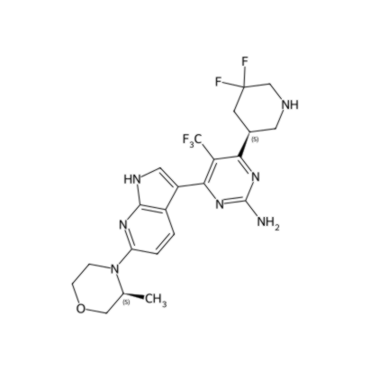 C[C@H]1COCCN1c1ccc2c(-c3nc(N)nc([C@@H]4CNCC(F)(F)C4)c3C(F)(F)F)c[nH]c2n1